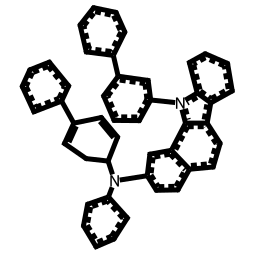 C1=CC(N(c2ccccc2)c2ccc3ccc4c5ccccc5n(-c5cccc(-c6ccccc6)c5)c4c3c2)CC=C1c1ccccc1